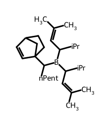 CCCCCC(B(C(C=C(C)C)C(C)C)C(C=C(C)C)C(C)C)C12C=CC(CC1)C2